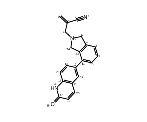 C=C(C#N)CN1Cc2cccc(-c3ccc4[nH]c(=O)ccc4c3)c2C1